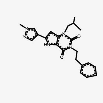 CC(C)Cn1c(=O)n(CCc2ccccc2)c(=O)c2[nH]c(-c3cnn(C)c3)cc21